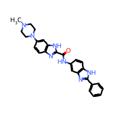 CN1CCN(c2ccc3nc(C(=O)Nc4ccc5[nH]c(-c6ccccc6)nc5c4)[nH]c3c2)CC1